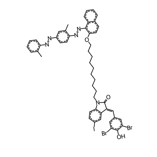 Cc1ccccc1/N=N/c1ccc(/N=N/c2c(OCCCCCCCCCCN3C(=O)C(=Cc4cc(Br)c(O)c(Br)c4)c4cc(I)ccc43)ccc3ccccc23)c(C)c1